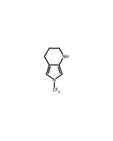 FC(F)(F)n1cc2c(c1)NCCC2